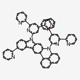 c1ccc(-c2cc(-c3ccccn3)nc(N3c4cc5c(cc4-c4cccc6cccc3c46)c3cc(-c4ccccn4)ccc3n5-c3cc(-c4ccccn4)cc(-c4ccccn4)n3)c2)nc1